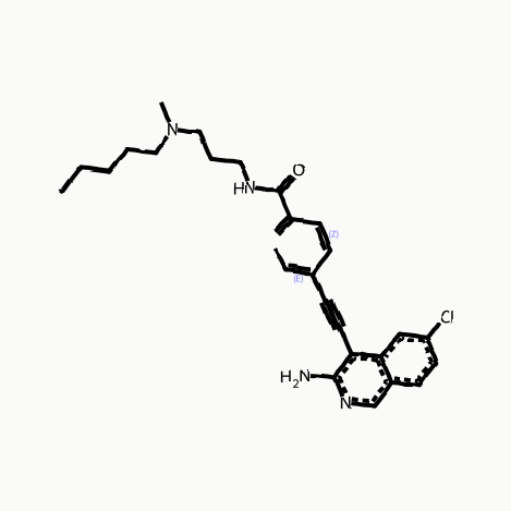 C=C(/C=C\C(C#Cc1c(N)ncc2ccc(Cl)cc12)=C/C)C(=O)NCCCN(C)CCCCC